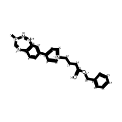 CP1C=Nc2ccc(-c3cc[n+](CCCC(=O)OCc4ccccc4)cc3)cc2N=N1